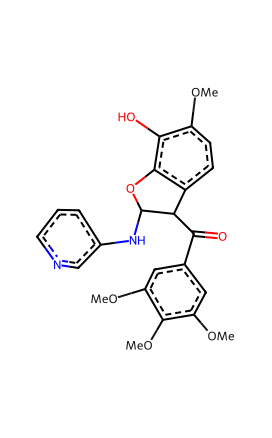 COc1ccc2c(c1O)OC(Nc1cccnc1)C2C(=O)c1cc(OC)c(OC)c(OC)c1